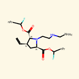 C=C[C@@H]1C[C@H](C(=O)OC(F)CCC)N(CCNCNC(C)=O)[C@H]1C(=O)OC(F)CCC